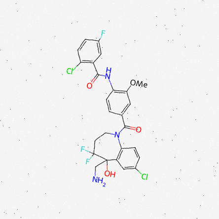 COc1cc(C(=O)N2CCC(F)(F)C(O)(CN)c3cc(Cl)ccc32)ccc1NC(=O)c1cc(F)ccc1Cl